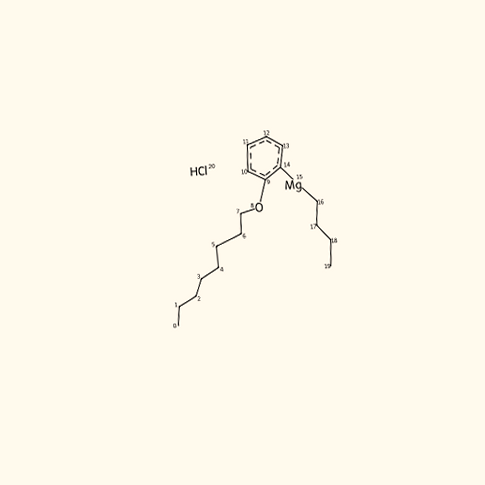 CCCCCCCCOc1cccc[c]1[Mg][CH2]CCC.Cl